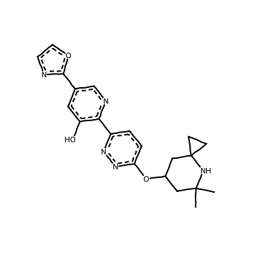 CC1(C)CC(Oc2ccc(-c3ncc(-c4ncco4)cc3O)nn2)CC2(CC2)N1